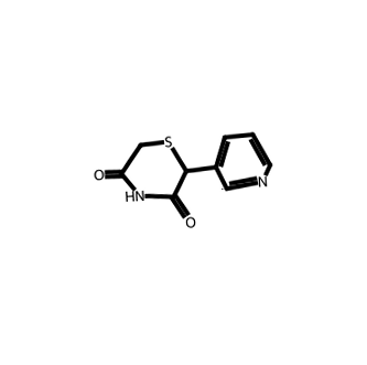 O=C1CSC(c2[c]nccc2)C(=O)N1